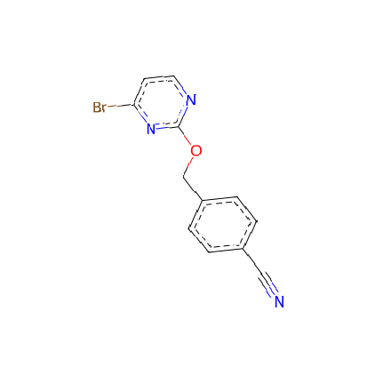 N#Cc1ccc(COc2nccc(Br)n2)cc1